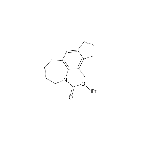 Cc1c2c(cc3c1N(C(=O)OC(C)C)CCCC3)CCC2